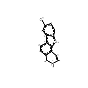 Clc1ccc2oc3c4c(ccc3c2c1)CNC=C4